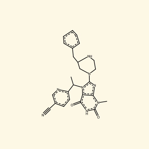 CC(c1ccc(C#N)cn1)n1c(N2CCNC(Cc3ccccc3)C2)nc2c1c(=O)[nH]c(=O)n2C